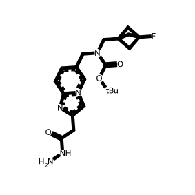 CC(C)(C)OC(=O)N(Cc1ccc2nc(CC(=O)NN)cn2c1)CC12CC(F)(C1)C2